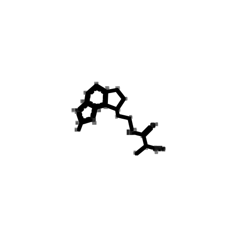 COC(C)C(=O)NCCC1CCc2ccc3nc(C)oc3c21